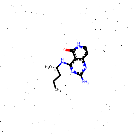 CCC[C@H](C)Nc1nc(N)nc2cc[nH]c(=O)c12